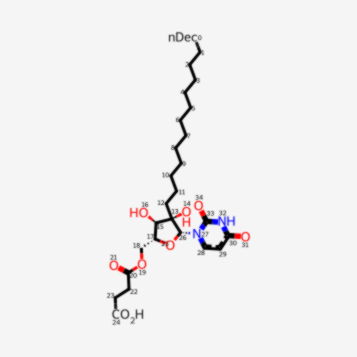 CCCCCCCCCCCCCCCCCCCCCC[C@@]1(O)[C@H](O)[C@@H](COC(=O)CCC(=O)O)O[C@H]1n1ccc(=O)[nH]c1=O